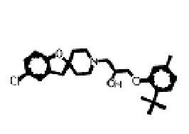 Cc1ccc(C(C)(C)C)c(OCC(O)CN2CCC3(CC2)Cc2cc(Cl)ccc2O3)c1